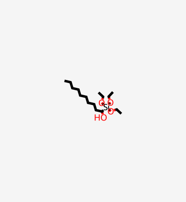 CCCCCCCCCC(O)[Si](OCC)(OCC)OCC